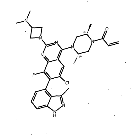 C=CC(=O)N1C[C@H](C)N(c2nc(N3CC(N(C)C)C3)nc3c(F)c(-c4cccc5[nH]nc(C)c45)c(Cl)cc23)C[C@H]1C